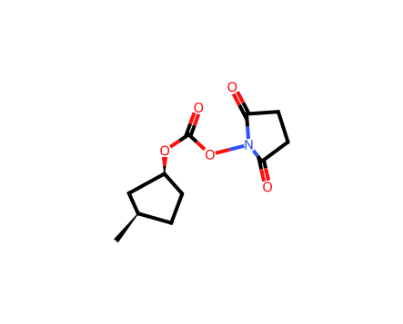 C[C@@H]1CC[C@H](OC(=O)ON2C(=O)CCC2=O)C1